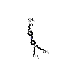 CCCCCCN(CCCCCC)c1ccc(/C=C/c2cc[n+](CCCC(=O)OCC)cc2)cc1